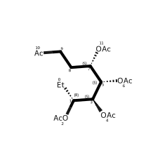 CC[C@@H](OC(C)=O)[C@H](OC(C)=O)[C@@H](OC(C)=O)[C@H](CCC(C)=O)OC(C)=O